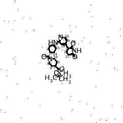 CC(C)(C)OC(=O)C1CCN(C(=O)[C@H]2CC[C@H](Nc3cc(C4CCC(=O)NC4=O)ccn3)CC2)CC1